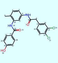 Cc1ccc(NC(=O)Cc2ccc(Cl)c(Cl)c2)cc1NC(=O)c1ccc(O)cc1